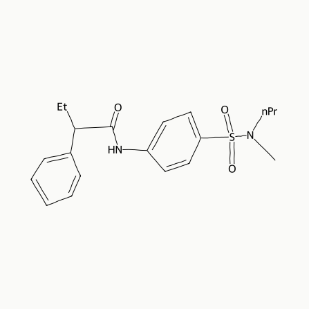 CCCN(C)S(=O)(=O)c1ccc(NC(=O)C(CC)c2ccccc2)cc1